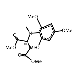 COC(=O)C[C@@H](C(=O)OC)N(C)c1c(OC)cc(OC)cc1OC